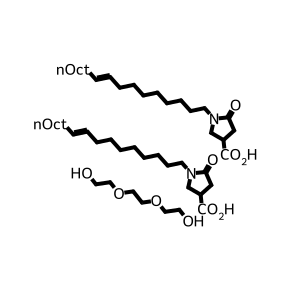 CCCCCCCCC=CCCCCCCCCN1CC(C(=O)O)CC1=O.CCCCCCCCC=CCCCCCCCCN1CC(C(=O)O)CC1=O.OCCOCCOCCO